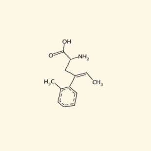 C/C=C(/CC(N)C(=O)O)c1ccccc1C